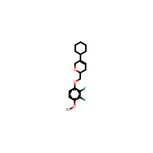 CCOc1ccc(OCC2CC=C(C3CCCCC3)CO2)c(F)c1F